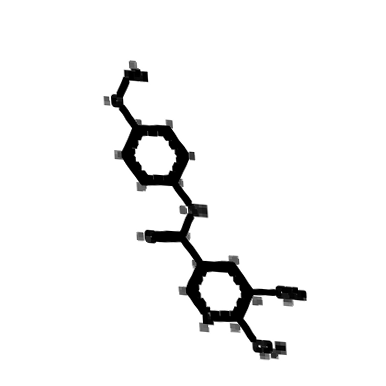 CCCCOc1ccc(NC(=O)c2cnc(C(=O)O)c(OC)c2)cc1